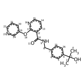 CC(C)(O)c1ccc(CNC(=O)c2cccnc2Oc2cccnc2)cc1